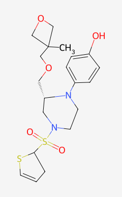 CC1(COC[C@H]2CN(S(=O)(=O)C3CC=CS3)CCN2c2ccc(O)cc2)COC1